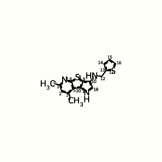 Cc1cc(C)c2c(n1)sc1c(NCc3cccs3)c[nH]c12